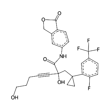 O=C1OCc2cc(NC(=O)C(O)(C#CCCCO)CC3(c4cc(C(F)(F)F)ccc4F)CC3)ccc21